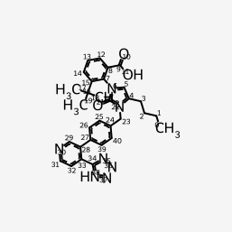 CCCCc1cn(-c2c(C(=O)O)cccc2C(C)(C)C)c(=O)n1Cc1ccc(-c2cnccc2-c2nnn[nH]2)cc1